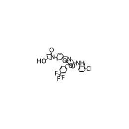 Cc1c(Cl)cccc1NC(=O)CN(Cc1ccc(N2CC(O)CC2=O)cc1)S(=O)(=O)c1ccc(C(F)(F)F)cc1